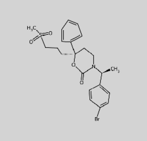 C[C@@H](c1ccc(Br)cc1)N1CC[C@](CCCS(C)(=O)=O)(c2ccccc2)OC1=O